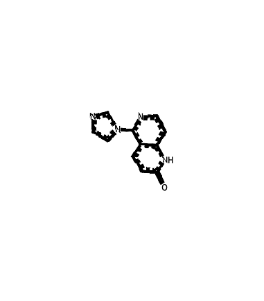 O=c1ccc2c(-n3ccnc3)nccc2[nH]1